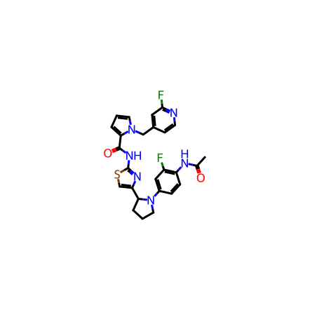 CC(=O)Nc1ccc(N2CCCC2c2csc(NC(=O)c3cccn3Cc3ccnc(F)c3)n2)cc1F